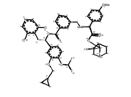 COc1ccc(C(NCc2cccc(C(=O)O[C@@H](Cc3c(Cl)cncc3Cl)c3ccc(OC(F)F)c(OCC4CC4)c3)c2)C(=O)O[C@H]2CN3CCC2CC3)cc1